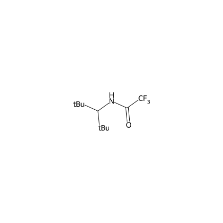 CC(C)(C)C(NC(=O)C(F)(F)F)C(C)(C)C